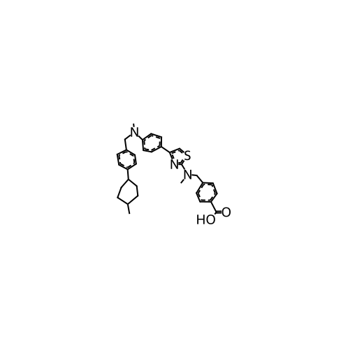 CC1CCC(c2ccc(CN(C)c3ccc(-c4csc(N(C)Cc5ccc(C(=O)O)cc5)n4)cc3)cc2)CC1